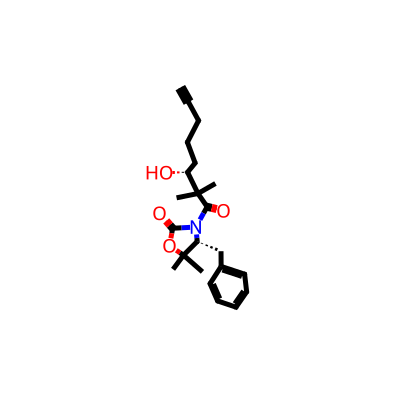 C#CCCC[C@@H](O)C(C)(C)C(=O)N1C(=O)OC(C)(C)[C@H]1Cc1ccccc1